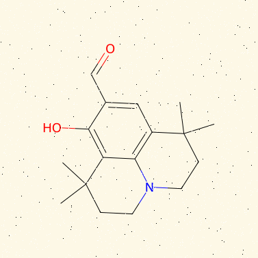 CC1(C)CCN2CCC(C)(C)c3c(O)c(C=O)cc1c32